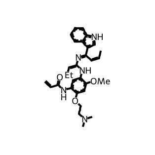 C=CC(=O)Nc1cc(NC(=C\CC)/N=C(\C=C/C)c2c[nH]c3ccccc23)c(OC)cc1OCCN(C)C